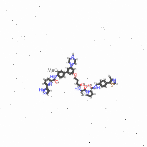 COc1cc(-c2cc(OCCCC(=O)N[C@H](C(=O)N3CCC[C@H]3C(=O)NCc3ccc(-c4scnc4C)cc3)C(C)(C)C)cc(N3CCN(C)CC3)c2)ccc1NC(=O)c1cccc(-c2ccn[nH]2)n1